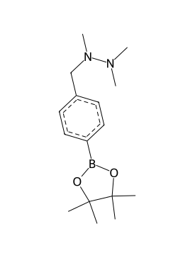 CN(C)N(C)Cc1ccc(B2OC(C)(C)C(C)(C)O2)cc1